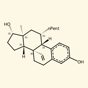 C=C[C@@]12CCc3cc(O)ccc3[C@H]1[C@@H](CCCCC)C[C@@]1(C)[C@H]2CC[C@@H]1O